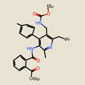 COC(=O)c1ccccc1C(=O)Nc1c(C)nc(CC(C)C)c(CNC(=O)OC(C)(C)C)c1-c1ccc(C)cc1